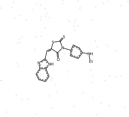 CCNc1ccc(N2C(=O)/C(=C\c3nc4ccccc4[nH]3)SC2=S)cc1